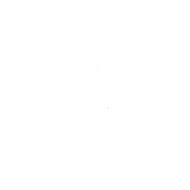 CC1(C2CCCC3OC32)CO1